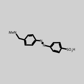 CNCc1ccc(/N=N/c2ccc(S(=O)(=O)O)cc2)cc1